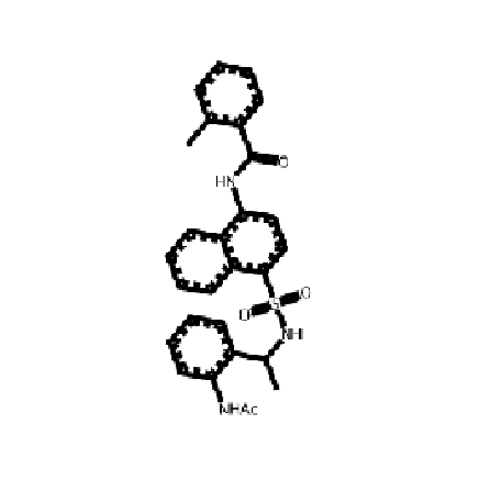 CC(=O)Nc1ccccc1C(C)NS(=O)(=O)c1ccc(NC(=O)c2ccccc2C)c2ccccc12